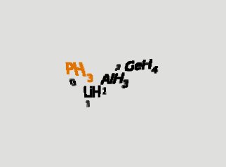 P.[AlH3].[GeH4].[LiH]